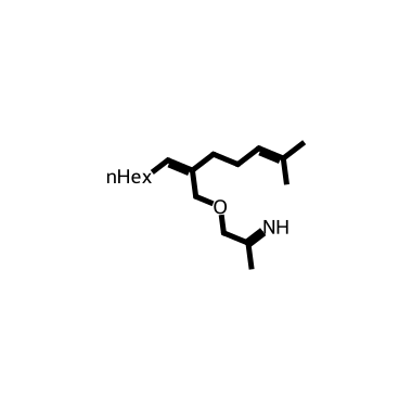 CCCCCCC=C(CCC=C(C)C)COCC(C)=N